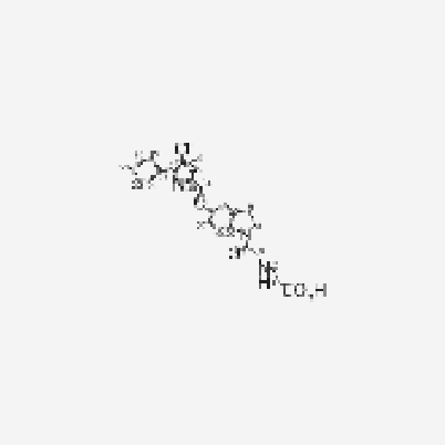 O=C(O)CCNCC(=O)N1CCc2cc(OCc3nc(-c4ccccc4)c(C(F)(F)F)s3)ccc21